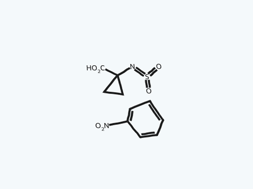 O=C(O)C1(N=S(=O)=O)CC1.O=[N+]([O-])c1ccccc1